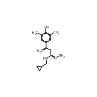 C=C(S/C(=N\N)NCC1CC1)c1cc(C)c(O)c(C)c1